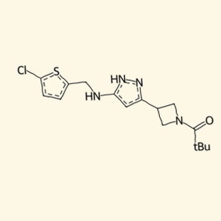 CC(C)(C)C(=O)N1CC(c2cc(NCc3ccc(Cl)s3)[nH]n2)C1